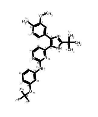 COc1cc(-c2nc(C(C)(C)C)[nH]c2-c2ccnc(Nc3cccc(OC(F)(F)F)c3)n2)cnc1N